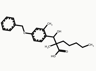 CCCCCC(C)(C(=O)O)C(O)c1ccc(OCc2ccccc2)cc1C